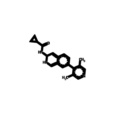 Cc1cncc(C)c1-c1ccc2c(c1)=CNC(NC(=O)C1CC1)C=2